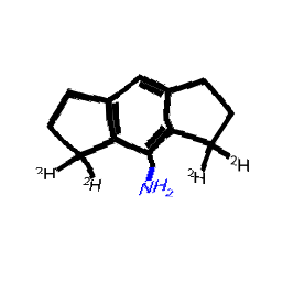 [2H]C1([2H])CCc2cc3c(c(N)c21)C([2H])([2H])CC3